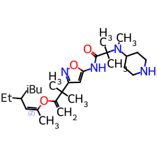 C=C(O/C(C)=C\C(CC)C(C)CC)C(C)(C)c1cc(NC(=O)C(C)(C)N(C)C2CCNCC2)on1